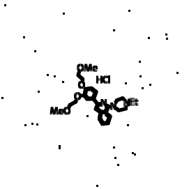 CCN1CCN(c2nc(-c3ccc(OCCOC)c(OCCOC)c3)cc3ccccc23)CC1.Cl